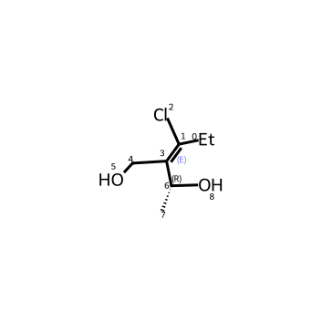 CC/C(Cl)=C(/CO)[C@@H](C)O